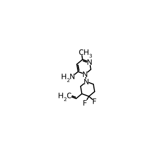 C=CC1CN(N2CN=C(C)C=C2N)CCC1(F)F